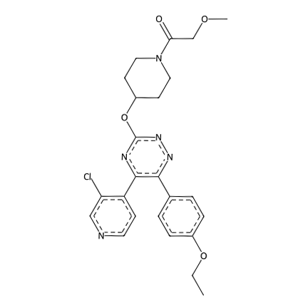 CCOc1ccc(-c2nnc(OC3CCN(C(=O)COC)CC3)nc2-c2ccncc2Cl)cc1